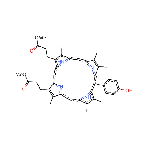 COC(=O)CCC1=C(C)c2cc3[nH]c(c(C)c3C)c(-c3ccc(O)cc3)c3nc(cc4[nH]c(cc1n2)c(CCC(=O)OC)c4C)C(C)=C3C